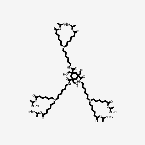 CCCCCCC(C)OC(=O)CCCCCN(CCCCCCNC(=O)C1(CO)CC(CO)(C(=O)NCCCCCCN(CCCCCC(=O)OC(C)CCCCCC)CCCCCC(=O)OC(C)CCCCCC)CC(CO)(C(=O)NCCCCCCN(CCCCCC(=O)OC(C)CCCCCC)CCCCCC(=O)OC(C)CCCCCC)C1)CCCCCC(=O)OC(C)CCCCCC